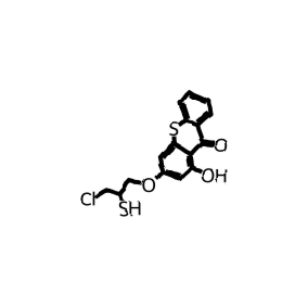 O=c1c2ccccc2sc2cc(OCC(S)CCl)cc(O)c12